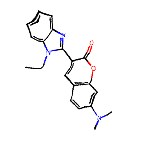 CCn1c(-c2cc3ccc(N(C)C)cc3oc2=O)nc2ccccc21